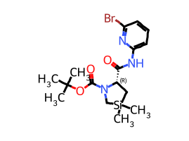 CC(C)(C)OC(=O)N1C[Si](C)(C)C[C@H]1C(=O)Nc1cccc(Br)n1